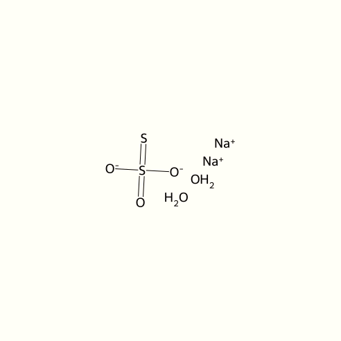 O.O.O=S([O-])([O-])=S.[Na+].[Na+]